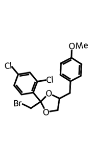 COc1ccc(CC2COC(CBr)(c3ccc(Cl)cc3Cl)O2)cc1